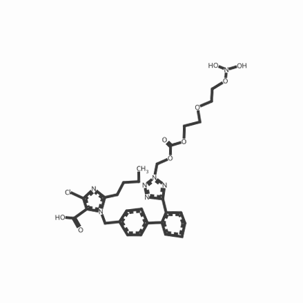 CCCCc1nc(Cl)c(C(=O)O)n1Cc1ccc(-c2ccccc2-c2nnn(COC(=O)OCCOCCON(O)O)n2)cc1